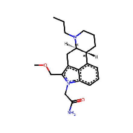 CCCN1CCC[C@@H]2c3cccc4c3c(c(COC)n4CC(N)=O)C[C@H]21